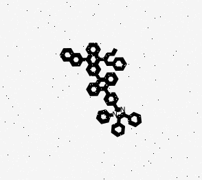 C=C/C=C(\C=C1\C=CC=CC1)c1c2ccccc2c(-c2ccc3ccccc3c2)c2ccc(-c3c4ccccc4c(-c4ccc(-c5nc(C6C=CC=CC6)c(C6=CC=CCC6)n5-c5ccccc5)cc4)c4ccccc34)cc12